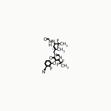 C/C(=C\C(=N/NC=O)C(C)(F)F)Cn1cnc(C(C)(F)F)c(Oc2cccc(C#N)c2F)c1=O